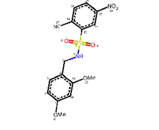 COc1ccc(CNS(=O)(=O)c2cc([N+](=O)[O-])ccc2C#N)c(OC)c1